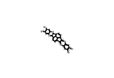 Brc1cc2nc3c(nc2cc1Br)-c1ccc2c4c(ccc-3c14)-c1nc3cc(Br)c(Br)cc3nc1-2